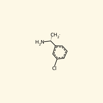 [CH2][C@@H](N)c1cccc(Cl)c1